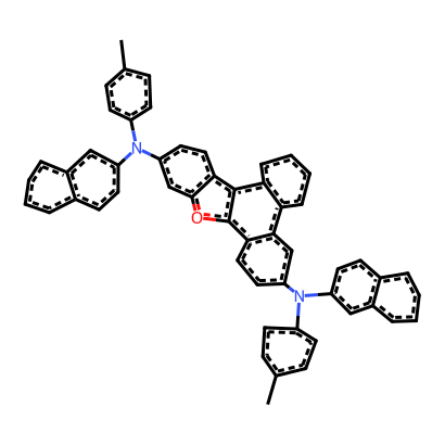 Cc1ccc(N(c2ccc3ccccc3c2)c2ccc3c(c2)oc2c4ccc(N(c5ccc(C)cc5)c5ccc6ccccc6c5)cc4c4ccccc4c32)cc1